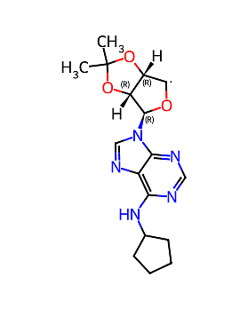 CC1(C)O[C@H]2[C@H](n3cnc4c(NC5CCCC5)ncnc43)O[CH][C@H]2O1